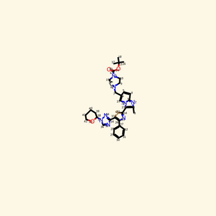 Cc1nc2ccc(CN3CCN(C(=O)OC(C)(C)C)CC3)cn2c1-c1nc(-c2ccccc2)c(-c2ncn(C3CCCCO3)n2)s1